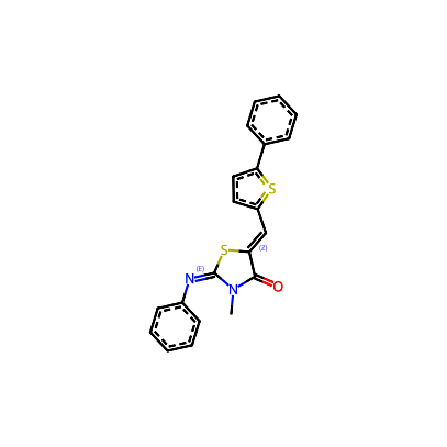 CN1C(=O)/C(=C/c2ccc(-c3ccccc3)s2)S/C1=N/c1ccccc1